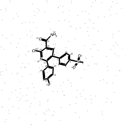 CS(=O)(=O)c1ccc(-c2cc(C(N)=O)c(Cl)nc2-c2ccc(F)cc2)cc1